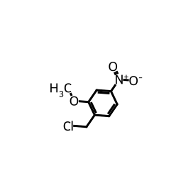 COc1cc([N+](=O)[O-])ccc1CCl